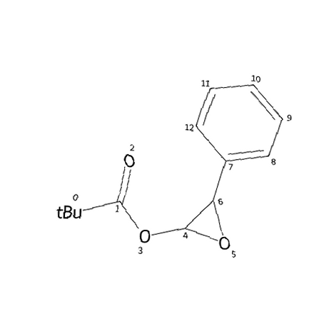 CC(C)(C)C(=O)OC1OC1c1ccccc1